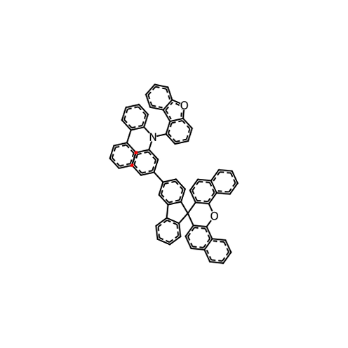 c1ccc(-c2ccccc2N(c2cccc(-c3ccc4c(c3)-c3ccccc3C43c4ccc5ccccc5c4Oc4c3ccc3ccccc43)c2)c2cccc3oc4ccccc4c23)cc1